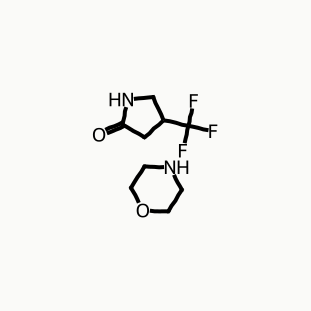 C1COCCN1.O=C1CC(C(F)(F)F)CN1